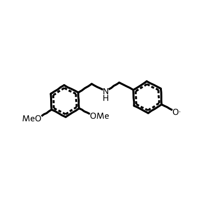 COc1ccc(CNCc2ccc([O])cc2)c(OC)c1